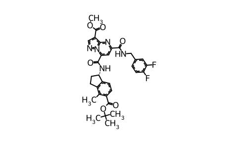 COC(=O)c1cnn2c(C(=O)N[C@H]3CCc4c3ccc(C(=O)OC(C)(C)C)c4C)cc(C(=O)NCc3ccc(F)c(F)c3)nc12